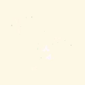 CC(C)(O)c1cn(C2(CO)C=CC(c3cccc(S(C)(=O)=O)c3)=CC2F)c(-c2cccc(Cl)c2Cl)n1